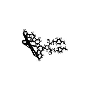 C=Cc1ccc(COC(=O)CCC2(CCC(=O)OCc3ccc(C=C)cc3)C3c4c5c6c7c4c4c(c8ccc9c%10ccc%11c%12c%13c%14c(c7c7c%14c(c%12%10)c9c8c47)=C4C6C(C=C5)C5C=CC%11C%13C45)C32)cc1